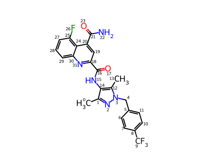 Cc1nn(Cc2ccc(C(F)(F)F)cc2)c(C)c1NC(=O)c1cc(C(N)=O)c2c(F)cccc2n1